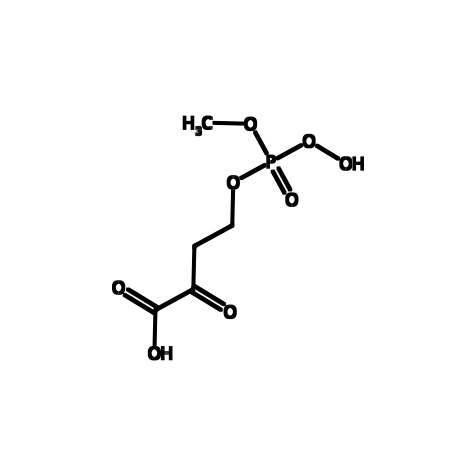 COP(=O)(OO)OCCC(=O)C(=O)O